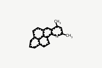 Cc1cc(C)c2cc3ccc4cccc5ccc(c2n1)c3c45